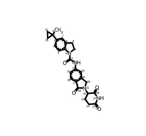 CC1(c2ccc3c(c2)CCN3C(=O)Nc2ccc3c(c2)CN(C2CCC(=O)NC2=O)C3=O)CC1